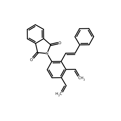 C=Cc1ccc(N2C(=O)c3ccccc3C2=O)c(C=Cc2ccccc2)c1C=C